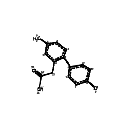 Cc1ccc(-c2ccc(Cl)cc2)c(CC(=O)O)c1